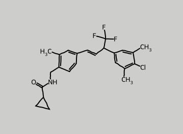 Cc1cc(/C=C/C(c2cc(C)c(Cl)c(C)c2)C(F)(F)F)ccc1CNC(=O)C1CC1